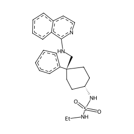 CCNS(=O)(=O)N[C@H]1CC[C@@](CNc2nccc3ccccc23)(c2ccccc2)CC1